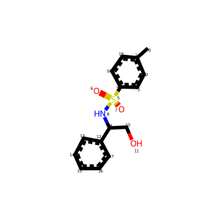 Cc1ccc(S(=O)(=O)NC(CO)c2ccccc2)cc1